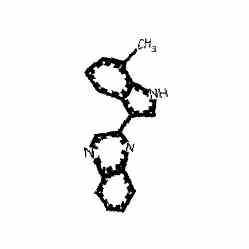 Cc1cccc2c(-c3cnc4ccccc4n3)c[nH]c12